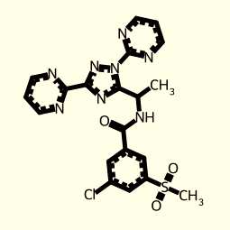 CC(NC(=O)c1cc(Cl)cc(S(C)(=O)=O)c1)c1nc(-c2ncccn2)nn1-c1ncccn1